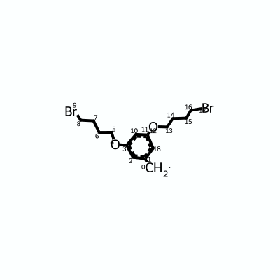 [CH2]c1cc(OCCCCBr)cc(OCCCCBr)c1